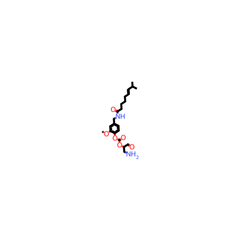 COc1cc(CNC(=O)CCCC/C=C/C(C)C)ccc1OC(=O)OC(C=O)CN